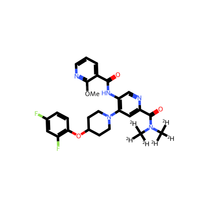 [2H]C([2H])([2H])N(C(=O)c1cc(N2CCC(Oc3ccc(F)cc3F)CC2)c(NC(=O)c2cccnc2OC)cn1)C([2H])([2H])[2H]